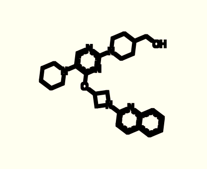 OCC1CCN(c2ncc(N3CCCCC3)c(OC3CN(c4ccc5ccccc5n4)C3)n2)CC1